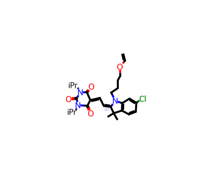 C=COCCCCN1/C(=C\C=C2C(=O)N(C(C)C)C(=O)N(C(C)C)C2=O)C(C)(C)c2ccc(Cl)cc21